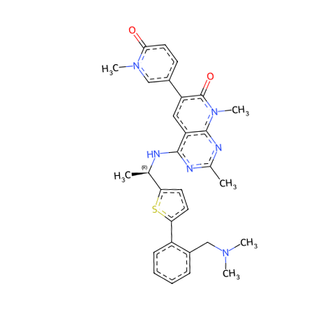 Cc1nc(N[C@H](C)c2ccc(-c3ccccc3CN(C)C)s2)c2cc(-c3ccc(=O)n(C)c3)c(=O)n(C)c2n1